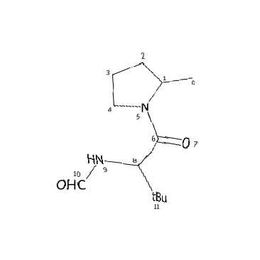 CC1CCCN1C(=O)C(NC=O)C(C)(C)C